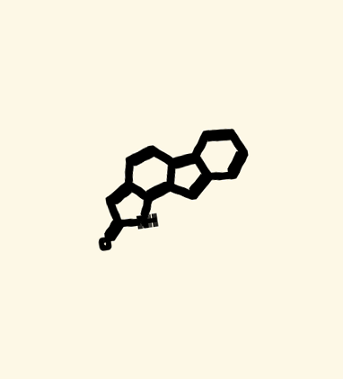 O=C1C=c2ccc3c(c2N1)C=c1ccccc1=3